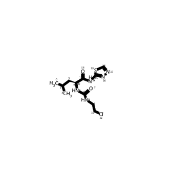 CC(C)C[C@H](NC(=O)NCCCl)C(=O)Nc1nncs1